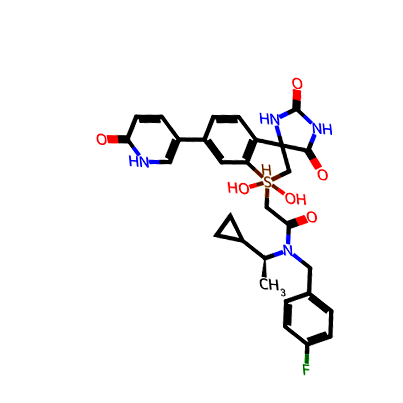 C[C@@H](C1CC1)N(Cc1ccc(F)cc1)C(=O)C[SH]1(O)(O)CC2(NC(=O)NC2=O)c2ccc(-c3ccc(=O)[nH]c3)cc21